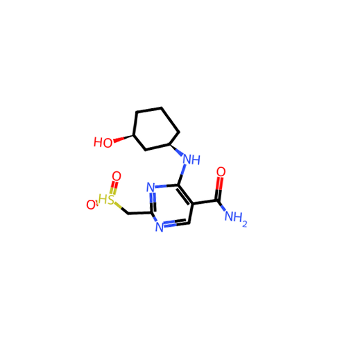 NC(=O)c1cnc(C[SH](=O)=O)nc1N[C@@H]1CCC[C@H](O)C1